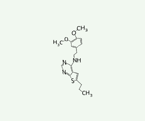 CCCc1cc2c(NCCc3ccc(OC)c(OC)c3)ncnc2s1